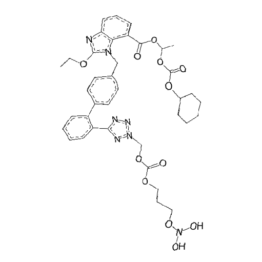 CCOc1nc2cccc(C(=O)OC(C)OC(=O)OC3CCCCC3)c2n1Cc1ccc(-c2ccccc2-c2nnn(COC(=O)OCCCON(O)O)n2)cc1